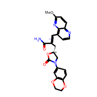 COc1ccc2nccc(/C=C(\C[C@@H]3CN(c4ccc5c(c4)OCCO5)C(=O)O3)C(N)=O)c2n1